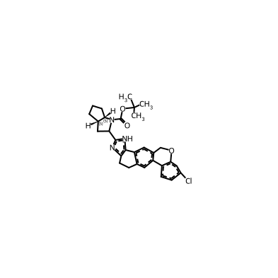 CC(C)(C)OC(=O)N1C(c2nc3c([nH]2)-c2cc4c(cc2CC3)-c2ccc(Cl)cc2OC4)C[C@@H]2CCC[C@@H]21